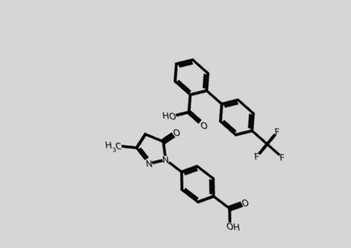 CC1=NN(c2ccc(C(=O)O)cc2)C(=O)C1.O=C(O)c1ccccc1-c1ccc(C(F)(F)F)cc1